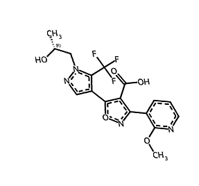 COc1ncccc1-c1noc(-c2cnn(C[C@@H](C)O)c2C(F)(F)F)c1C(=O)O